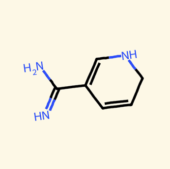 N=C(N)C1=CNCC=C1